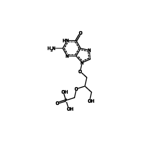 Nc1nc2c(ncn2OCC(CO)OCP(=O)(O)O)c(=O)[nH]1